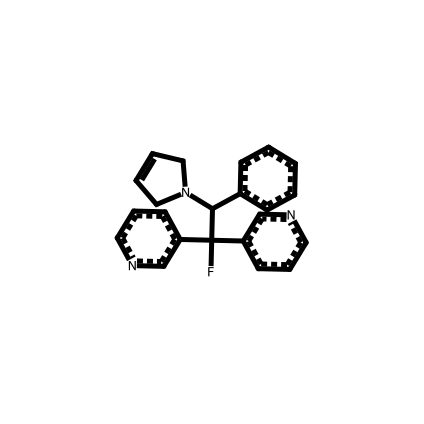 FC(c1cccnc1)(c1cccnc1)C(c1ccccc1)N1CC=CC1